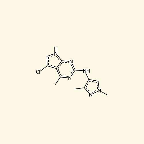 Cc1nn(C)cc1Nc1nc(C)c2c(Cl)c[nH]c2n1